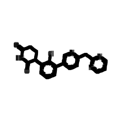 O=C1CCC(c2cccc(-c3ccc(Cc4ncccn4)nc3)c2Cl)C(=O)N1